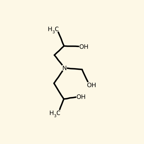 CC(O)CN(CO)CC(C)O